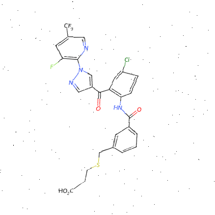 O=C(O)CCSCc1cccc(C(=O)Nc2ccc(Cl)cc2C(=O)c2cnn(-c3ncc(C(F)(F)F)cc3F)c2)c1